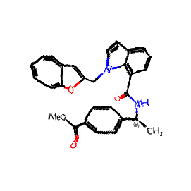 COC(=O)c1ccc([C@H](C)NC(=O)c2cccc3ccn(Cc4cc5ccccc5o4)c23)cc1